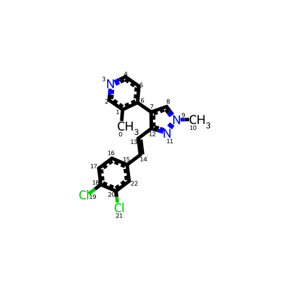 Cc1cnccc1-c1cn(C)nc1C=Cc1ccc(Cl)c(Cl)c1